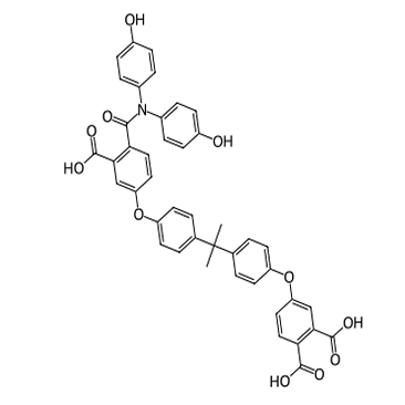 CC(C)(c1ccc(Oc2ccc(C(=O)O)c(C(=O)O)c2)cc1)c1ccc(Oc2ccc(C(=O)N(c3ccc(O)cc3)c3ccc(O)cc3)c(C(=O)O)c2)cc1